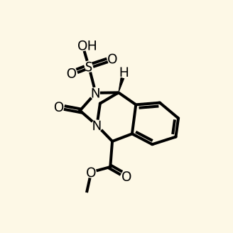 COC(=O)C1c2ccccc2[C@@H]2CN1C(=O)N2S(=O)(=O)O